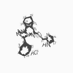 Cl.c1ccc(-c2nnc3c4c(c(OCc5ncc[nH]5)nn23)C2CCC4CC2)cc1